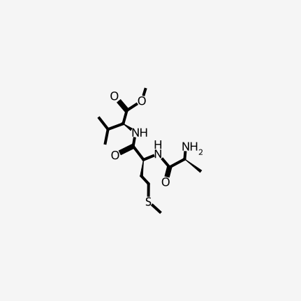 COC(=O)[C@@H](NC(=O)[C@H](CCSC)NC(=O)[C@H](C)N)C(C)C